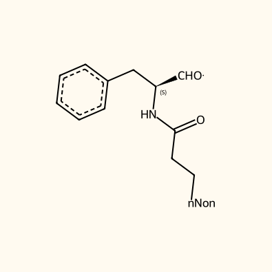 CCCCCCCCCCCC(=O)N[C@H]([C]=O)Cc1ccccc1